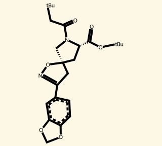 CC(C)(C)CC(=O)N1C[C@@]2(CC(c3ccc4c(c3)OCO4)=NO2)C[C@H]1C(=O)OC(C)(C)C